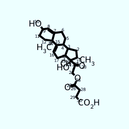 C[C@H]1CC2C3CCC4=CC(O)CC[C@]4(C)C3=CC[C@]2(C)[C@@]1(O)C(=O)COC(=O)CCC(=O)O